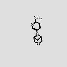 Nc1ccc(N2C3COCC2C3)cn1